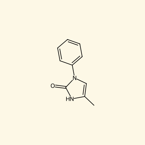 Cc1cn(-c2ccccc2)c(=O)[nH]1